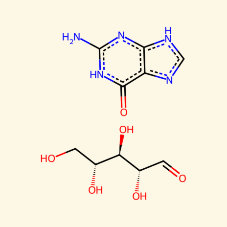 Nc1nc2[nH]cnc2c(=O)[nH]1.O=C[C@H](O)[C@H](O)[C@H](O)CO